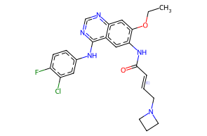 CCOc1cc2ncnc(Nc3ccc(F)c(Cl)c3)c2cc1NC(=O)/C=C/CN1CCC1